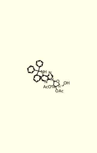 CC(=O)O[C@@H]1[C@H](OC(C)=O)[C@@H](CO)O[C@H]1n1cnc2c(NC(c3ccccc3)(c3ccccc3)c3ccccc3)ncnc21